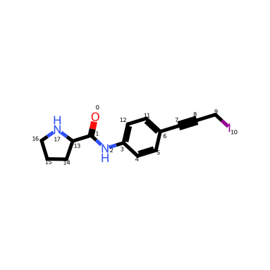 O=C(Nc1ccc(C#CCI)cc1)C1CCCN1